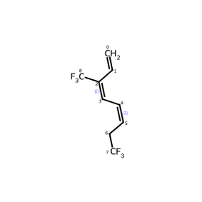 C=C/C(=C\C=C/CC(F)(F)F)C(F)(F)F